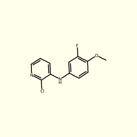 COc1ccc(Nc2cccnc2Cl)cc1F